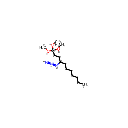 CCCCCCCC(CC[Si](OC)(OC)OC)N=[N+]=[N-]